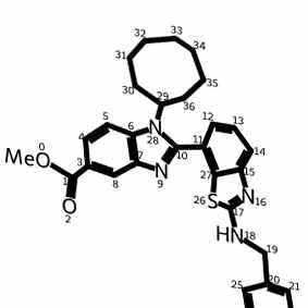 COC(=O)c1ccc2c(c1)nc(-c1cccc3nc(NCc4ccccc4)sc13)n2C1CCCCCCC1